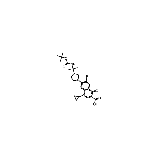 CC(C)(C)OC(=O)NC(C)(C)C1CCN(c2nc3c(cc2F)c(=O)c(C(=O)O)cn3C2CC2)C1